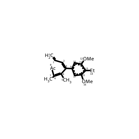 C=C/C=C(\C(C)=C(\C)C(C)=O)c1cc(OC)c(CC)c(OC)c1